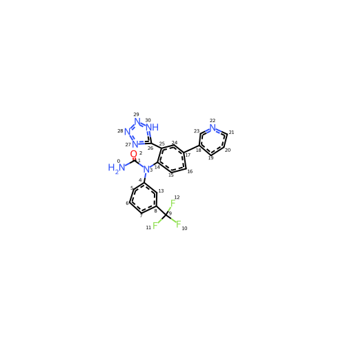 NC(=O)N(c1cccc(C(F)(F)F)c1)c1ccc(-c2cccnc2)cc1-c1nnn[nH]1